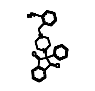 CCCc1ccccc1CN1CCN(C2(c3ccccc3)C(=O)c3ccccc3C2=O)CC1